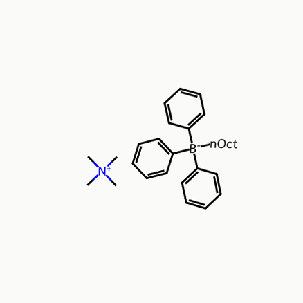 CCCCCCCC[B-](c1ccccc1)(c1ccccc1)c1ccccc1.C[N+](C)(C)C